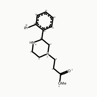 COC(=O)CCN1CCNC(c2ccccc2C(C)C)C1